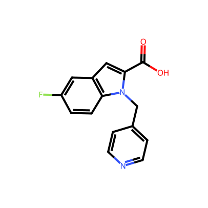 O=C(O)c1cc2cc(F)ccc2n1Cc1ccncc1